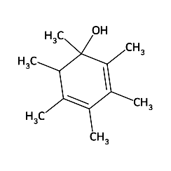 CC1=C(C)C(C)C(C)(O)C(C)=C1C